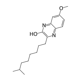 COc1ccc2nc(CCCCCCC(C)C)c(O)nc2c1